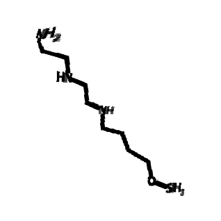 NCCNCCNCCCCO[SiH3]